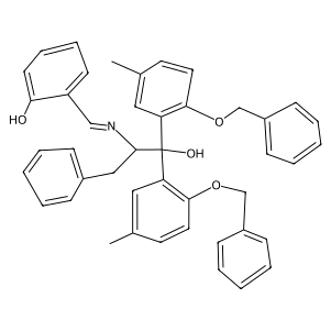 Cc1ccc(OCc2ccccc2)c(C(O)(c2cc(C)ccc2OCc2ccccc2)C(Cc2ccccc2)N=Cc2ccccc2O)c1